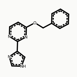 c1ccc(COc2ccnc(-c3c[nH]cn3)n2)cc1